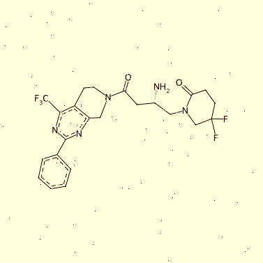 N[C@@H](CC(=O)N1CCc2c(nc(-c3ccccc3)nc2C(F)(F)F)C1)CN1CC(F)(F)CCC1=O